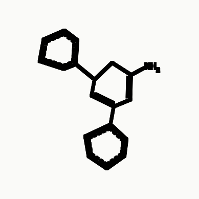 NC1=CC(c2ccccc2)=CC(c2ccccc2)C1